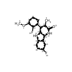 COc1cccc(-c2c(C)c(=O)[nH]c3c2[nH]c2ccc(F)cc23)c1F